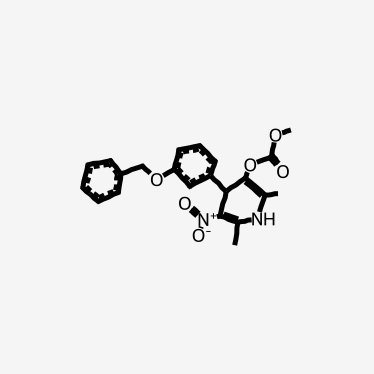 COC(=O)OC1=C(C)NC(C)=C([N+](=O)[O-])C1c1cccc(OCc2ccccc2)c1